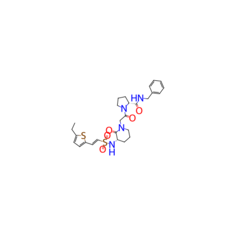 CCc1ccc(/C=C/S(=O)(=O)N[C@H]2CCCN(CC(=O)N3CCC[C@@H]3C(=O)NCc3ccccc3)C2=O)s1